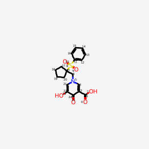 O=C(O)c1cn(CC2(S(=O)(=O)c3ccccc3)CCCC2)cc(O)c1=O